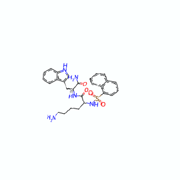 NCCCCC(NS(=O)(=O)c1cccc2ccccc12)C(=O)N[C@@H](Cc1c[nH]c2ccccc12)C(N)=O